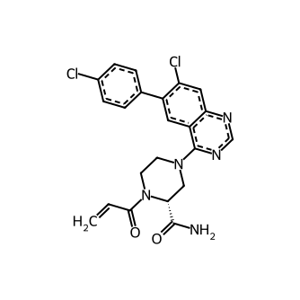 C=CC(=O)N1CCN(c2ncnc3cc(Cl)c(-c4ccc(Cl)cc4)cc23)C[C@@H]1C(N)=O